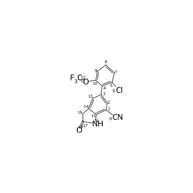 N#Cc1cc(-c2c(Cl)cccc2OC(F)(F)F)cc2c1NC(=O)C2